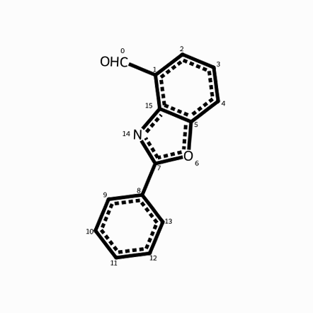 O=Cc1cccc2oc(-c3ccccc3)nc12